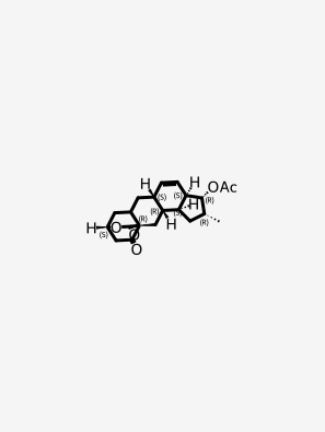 CC(=O)O[C@H]1[C@@H]2C=C[C@H]3CC4C[C@H]5CC(=O)[C@]4(C[C@H]3[C@@H]2C[C@H]1C)C(=O)O5